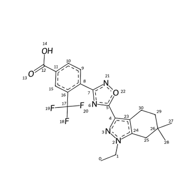 CCn1nc(-c2nc(-c3ccc(C(=O)O)cc3C(F)(F)F)no2)c2c1CC(C)(C)CC2